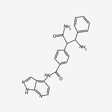 NC(=O)C(c1ccc(C(=O)Nc2ccnc3[nH]ncc23)cc1)C(N)c1ccccc1